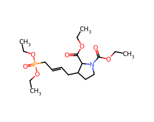 CCOC(=O)C1C(CC=CCP(=O)(OCC)OCC)CCN1C(=O)OCC